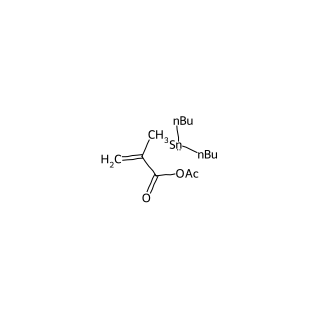 C=C(C)C(=O)OC(C)=O.CCC[CH2][Sn][CH2]CCC